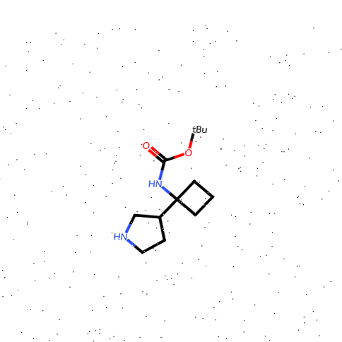 CC(C)(C)OC(=O)NC1(C2CCNC2)CCC1